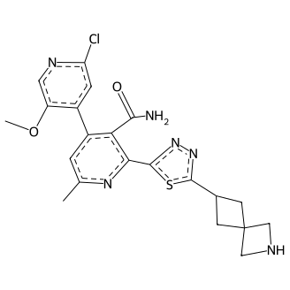 COc1cnc(Cl)cc1-c1cc(C)nc(-c2nnc(C3CC4(CNC4)C3)s2)c1C(N)=O